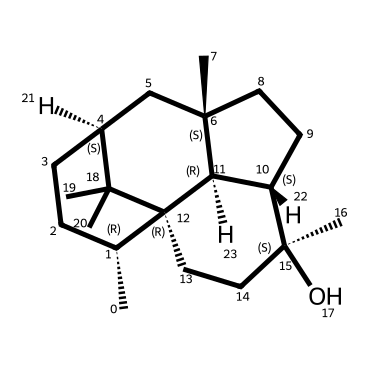 C[C@@H]1CC[C@H]2C[C@]3(C)CC[C@H]4[C@H]3[C@]1(CC[C@]4(C)O)C2(C)C